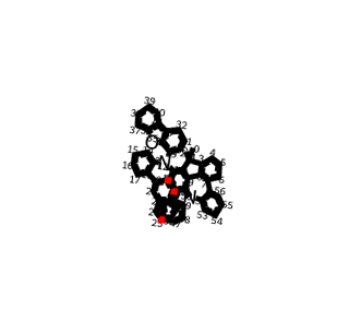 CC1(C)c2cccc3c2-c2c1c(N(c1ccccc1-c1ccc4ccccc4c1)c1cccc4c1oc1ccccc14)cc1c4ccccc4n(c21)-c1ccccc1-3